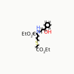 CCOC(=O)CCSCCCC(NCCC(O)C1CCCCC1)C(=O)OCC